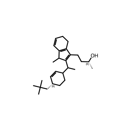 CC1C2=C(CCC=C2)C(CC[C@@H](C)O)=C1C(C)C1C=C[C@@H](CC(C)(C)C)CC1